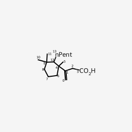 C=C(CC(=O)O)C1(C)CCCC(C)(C)C1CCCCC